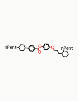 CCCCCC1CCC(c2ccc(C(=O)Oc3ccc(OCCCC4CCCCC4CCCCC)cc3)cc2)CC1